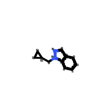 c1ccc2c(c1)cnn2CC1CC1